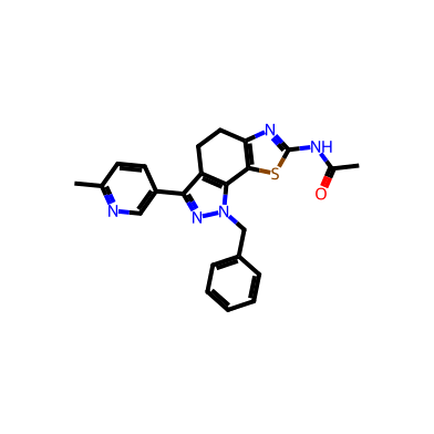 CC(=O)Nc1nc2c(s1)-c1c(c(-c3ccc(C)nc3)nn1Cc1ccccc1)CC2